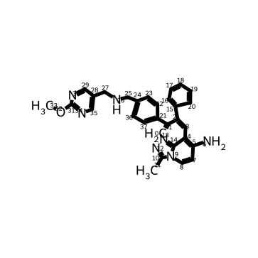 C=C(/C(=C\c1c(N)ccn2c(C)nnc12)c1ccccc1)c1ccc(CNCc2cnc(OC)nc2)cc1